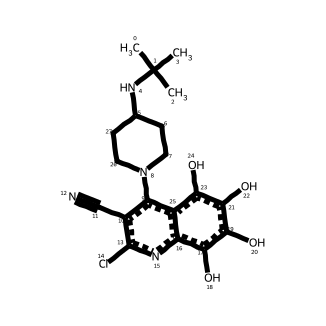 CC(C)(C)NC1CCN(c2c(C#N)c(Cl)nc3c(O)c(O)c(O)c(O)c23)CC1